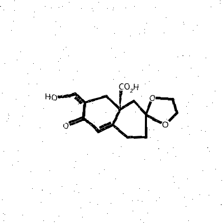 O=C1C=C2CCC3(C[C@@]2(C(=O)O)C/C1=C/O)OCCO3